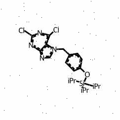 CC(C)[Si](Oc1ccc(Cn2cnc3nc(Cl)nc(Cl)c32)cc1)(C(C)C)C(C)C